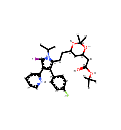 CC(C)n1c(I)c(-c2ccccn2)c(-c2ccc(F)cc2)c1CCC1CC(CC(=O)OC(C)(C)C)OC(C)(C)O1